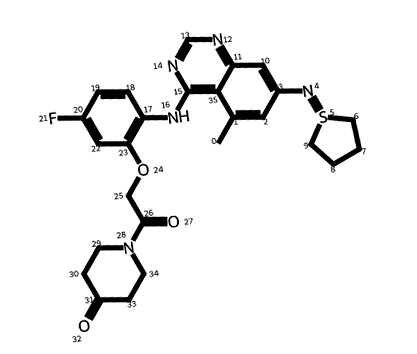 Cc1cc(N=S2CCCC2)cc2ncnc(Nc3ccc(F)cc3OCC(=O)N3CCC(=O)CC3)c12